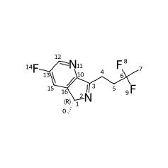 C[C@H]1N=C(CCC(C)(F)F)c2ncc(F)cc21